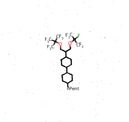 CCCCCC1CCC(C2CCC(C(COC(F)(C(F)(F)F)C(F)(F)F)COC(C(F)(F)F)(C(F)(F)F)C(F)(F)F)CC2)CC1